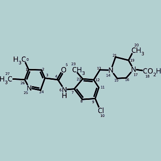 Cc1cc(C(=O)Nc2cc(Cl)cc(CN3CCN(C(=O)O)C(C)C3)c2C)cnc1C